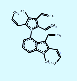 C=Cc1c(C)c(/C=C\C)n(-c2cccc3c2c(C=C)c(/C=C\C)n3C)c1C=C